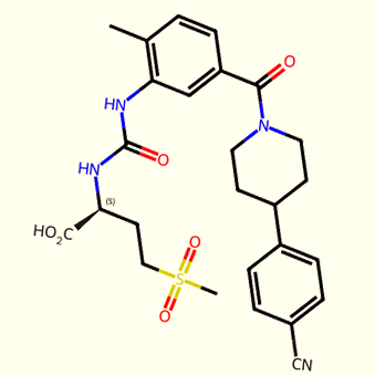 Cc1ccc(C(=O)N2CCC(c3ccc(C#N)cc3)CC2)cc1NC(=O)N[C@@H](CCS(C)(=O)=O)C(=O)O